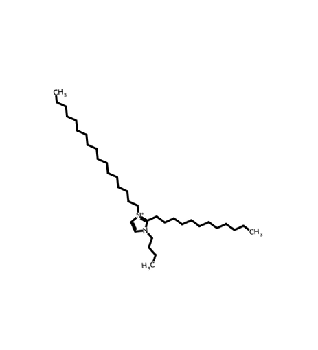 CCCCCCCCCCCCCCCCC[n+]1ccn(CCCC)c1CCCCCCCCCCCC